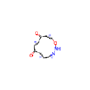 O=C1/C=C\ON/N=C\C=C\C(=O)/C=C/1